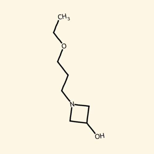 CCOCCCN1CC(O)C1